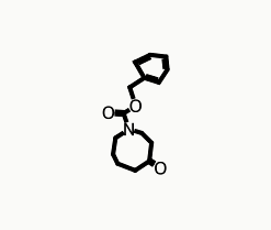 O=C1CCCCN(C(=O)OCc2ccccc2)CC1